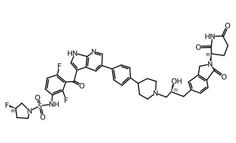 O=C1CC[C@@H](N2Cc3cc(C[C@H](O)CN4CCC(c5ccc(-c6cnc7[nH]cc(C(=O)c8c(F)ccc(NS(=O)(=O)N9CC[C@@H](F)C9)c8F)c7c6)cc5)CC4)ccc3C2=O)C(=O)N1